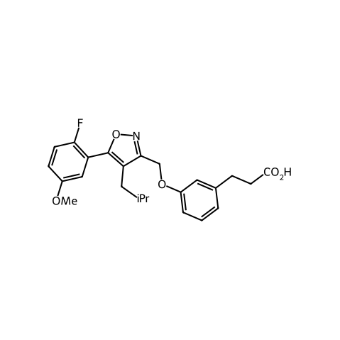 COc1ccc(F)c(-c2onc(COc3cccc(CCC(=O)O)c3)c2CC(C)C)c1